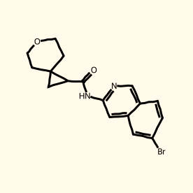 O=C(Nc1cc2cc(Br)ccc2cn1)C1CC12CCOCC2